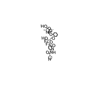 C[C@H](/N=[P+](\[O-])Oc1ccccc1OC[C@H]1O[C@@H](n2ccc(NC(=O)[C@H]3CCN(C)C3)nc2=O)C(F)(F)[C@@H]1O)C(=O)O